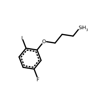 Fc1ccc(I)c(OCCC[SiH3])c1